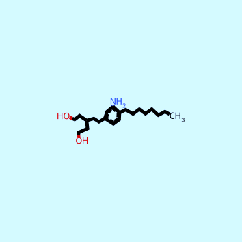 CCCCCCCCc1ccc(CCC(CCO)CCO)cc1N